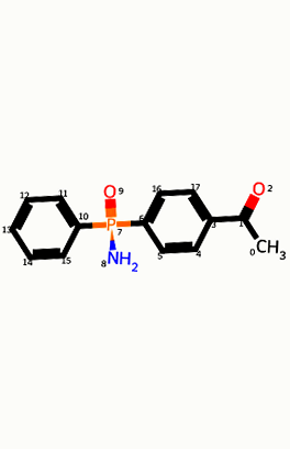 CC(=O)c1ccc([P@@](N)(=O)c2ccccc2)cc1